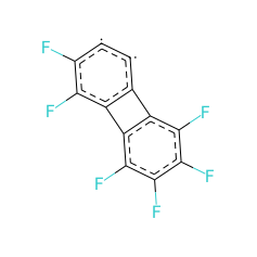 Fc1[c][c]c2c(c1F)-c1c(F)c(F)c(F)c(F)c1-2